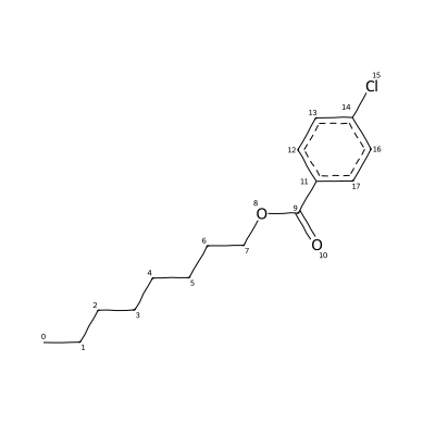 CCCCCCCCOC(=O)c1ccc(Cl)cc1